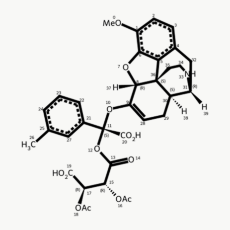 COc1ccc2c3c1O[C@H]1C(O[C@@](OC(=O)[C@H](OC(C)=O)[C@@H](OC(C)=O)C(=O)O)(C(=O)O)c4cccc(C)c4)=CC[C@@H]4[C@@H](C2)NCC[C@@]341